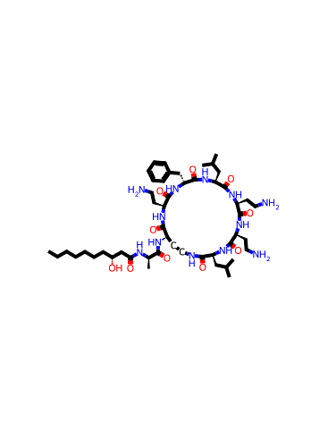 CCCCCCC[C@@H](O)CC(=O)N[C@H](C)C(=O)N[C@H]1CCNC(=O)[C@H](CC(C)C)NC(=O)[C@H](CCN)NC(=O)[C@H](CCN)NC(=O)[C@H](CC(C)C)NC(=O)[C@@H](Cc2ccccc2)NC(=O)[C@H](CCN)NC1=O